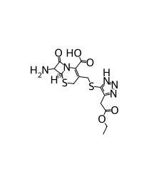 CCOC(=O)Cc1nn[nH]c1SCC1=C(C(=O)O)N2C(=O)C(N)[C@@H]2SC1